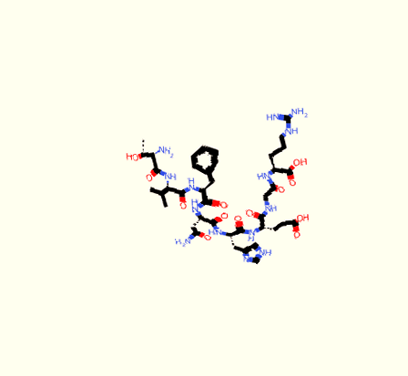 CC(C)[C@H](NC(=O)[C@@H](N)[C@@H](C)O)C(=O)N[C@@H](Cc1ccccc1)C(=O)N[C@@H](CC(N)=O)C(=O)N[C@@H](Cc1c[nH]cn1)C(=O)N[C@@H](CCC(=O)O)C(=O)NCC(=O)N[C@@H](CCCNC(=N)N)C(=O)O